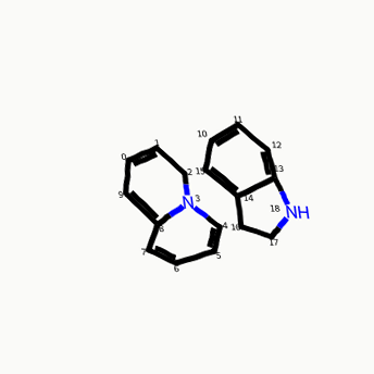 C1=CCN2C=CC=CC2=C1.c1ccc2c(c1)CCN2